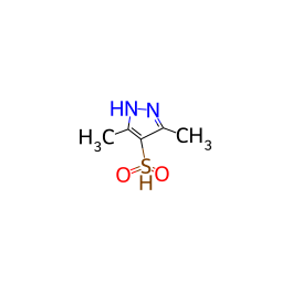 Cc1n[nH]c(C)c1[SH](=O)=O